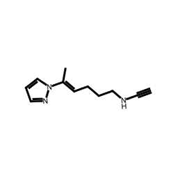 C#CNCCC/C=C(\C)n1cccn1